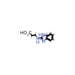 O=C(O)CCNc1nc2ccccc2[nH]1